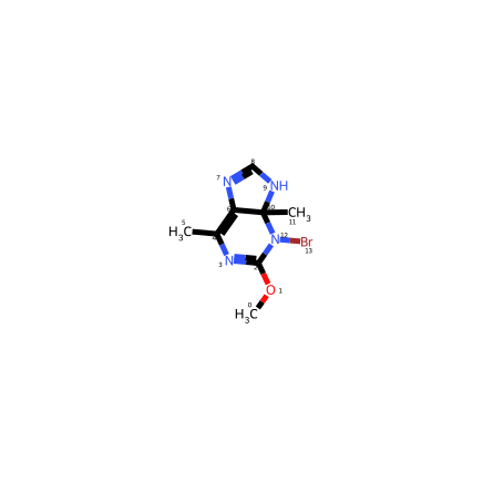 COC1=NC(C)=C2N=CNC2(C)N1Br